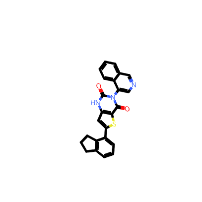 O=c1[nH]c2cc(-c3cccc4c3CCC4)sc2c(=O)n1-c1cncc2ccccc12